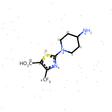 NC1CCN(c2nc(C(F)(F)F)c(C(=O)O)s2)CC1